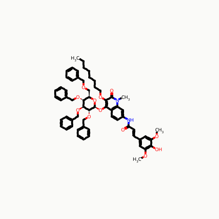 CCCCCCCCOc1c(O[C@@H]2O[C@H](COCc3ccccc3)[C@@H](OCc3ccccc3)[C@H](OCc3ccccc3)[C@H]2OCc2ccccc2)c2ccc(NC(=O)/C=C/c3cc(OC)c(O)c(OC)c3)cc2n(C)c1=O